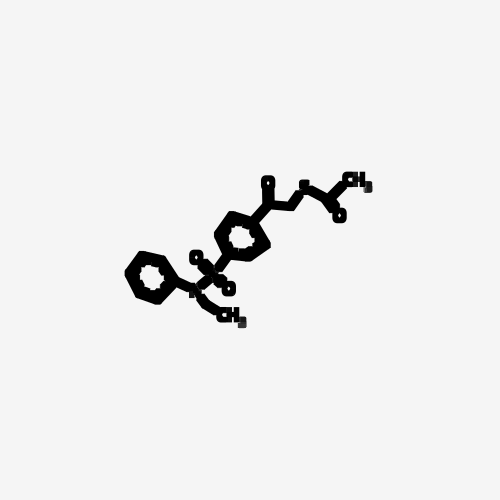 CCN(c1ccccc1)S(=O)(=O)c1ccc(C(=O)CSC(C)=O)cc1